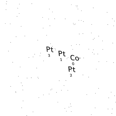 [Co].[Pt].[Pt].[Pt]